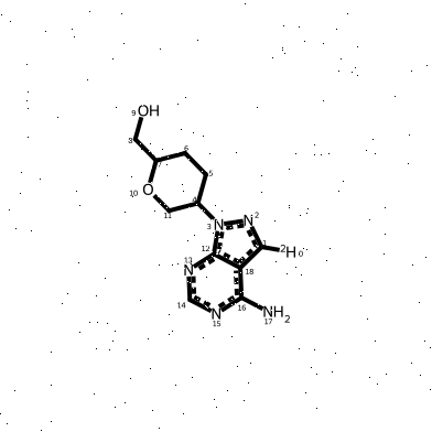 [2H]c1nn(C2CCC(CO)OC2)c2ncnc(N)c12